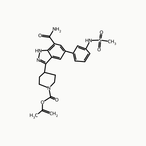 C=C(C)OC(=O)N1CCC(c2n[nH]c3c(C(N)=O)cc(-c4cccc(NS(C)(=O)=O)c4)cc23)CC1